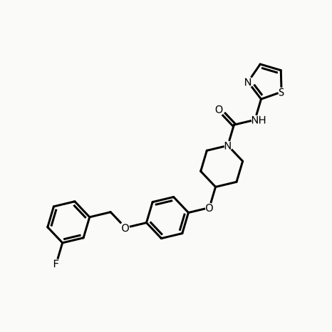 O=C(Nc1nccs1)N1CCC(Oc2ccc(OCc3cccc(F)c3)cc2)CC1